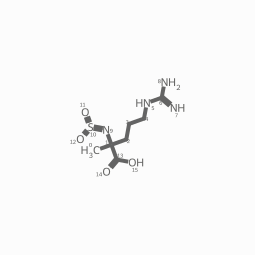 CC(CCCNC(=N)N)(N=S(=O)=O)C(=O)O